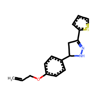 C=CCOc1ccc(C2CC(c3cccs3)=NN2)cc1